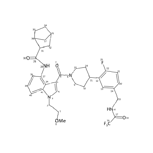 COCCn1cc(C(=O)N2CCC(c3cc(CNC(=O)C(F)(F)F)ccc3F)CC2)c2c(NC(=O)C3CC4CCC3C4)cccc21